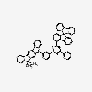 CC1(C)c2ccccc2-c2cc3c4ccccc4n(-c4cccc(-c5nc(-c6ccccc6)nc(-c6cccc7c6-c6ccccc6C76c7ccccc7-c7ccccc76)n5)c4)c3cc21